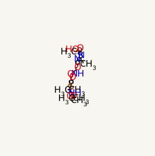 CCc1c2c(nc3ccc(OCCCNC(=O)OCc4ccc(SSC(C)(C)CNC(=O)OC(C)(C)C)cc4)cc13)C1=CC3=C(COC[C@]3(O)CC)CN1C2